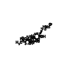 CC(=O)[C@H]1CC[C@H]2[C@@H]3CC[C@@H]4C[C@@](O)(C#CCCNC=O)CC[C@]4(C)[C@H]3CC[C@]12C